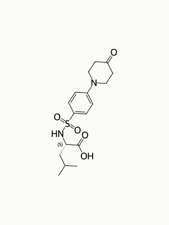 CC(C)C[C@H](NS(=O)(=O)c1ccc(N2CCC(=O)CC2)cc1)C(=O)O